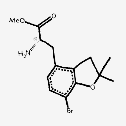 COC(=O)[C@@H](N)Cc1ccc(Br)c2c1CC(C)(C)O2